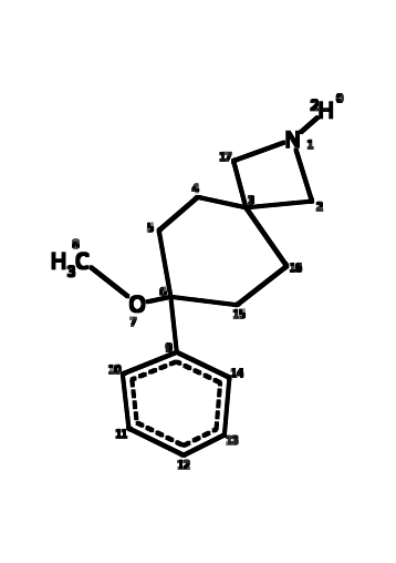 [2H]N1CC2(CCC(OC)(c3ccccc3)CC2)C1